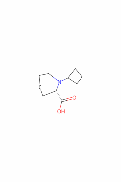 O=C(O)[C@@H]1CCCCN1C1CCC1